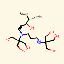 COC(OC)[C@@H](O)/C=C\N(CCCNC(CO)(CO)CO)C(CO)(CO)CO